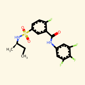 CC[C@@H](C)NS(=O)(=O)c1ccc(F)c(C(=O)Nc2cc(F)c(F)c(F)c2)c1